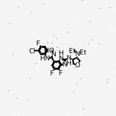 CCN(CC)[C@@H]1COC[C@H]1Nc1nc2c(F)c(F)cc(C(=NO)Nc3ccc(F)c(Cl)c3)c2[nH]1